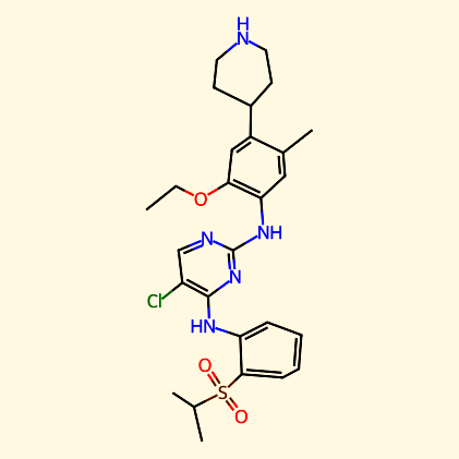 CCOc1cc(C2CCNCC2)c(C)cc1Nc1ncc(Cl)c(Nc2ccccc2S(=O)(=O)C(C)C)n1